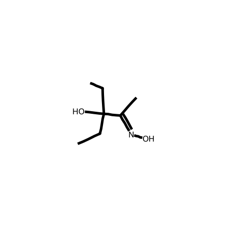 CCC(O)(CC)/C(C)=N/O